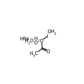 CC(=O)OI.O.O.O.[NaH]